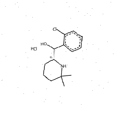 CC1(C)CCC[C@H](C(O)c2ccccc2Cl)N1.Cl